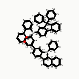 c1ccc(-c2ccccc2N(c2cccc(-c3ccc4c5ccc6ccccc6c5n(-c5ccccc5)c4c3)c2)c2ccc3c(c2)C(c2ccccc2)(c2ccccc2)c2ccccc2-3)cc1